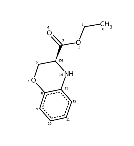 CCOC(=O)[C@@H]1COc2ccccc2N1